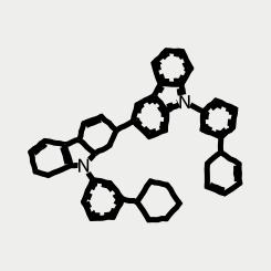 C1=CCC(c2cccc(-n3c4ccccc4c4cc(C5C=CC6C7=C(CCC=C7)N(c7cccc(C8CCCCC8)c7)C6C5)ccc43)c2)C=C1